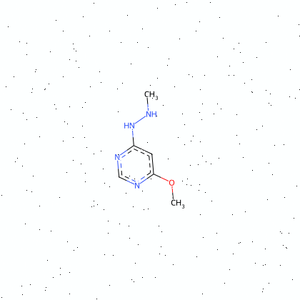 CNNc1cc(OC)ncn1